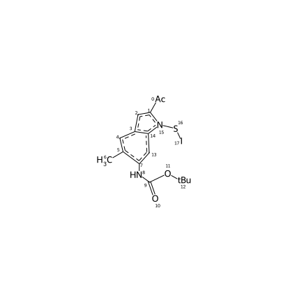 CC(=O)c1cc2cc(C)c(NC(=O)OC(C)(C)C)cc2n1SI